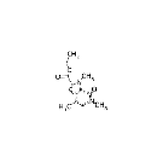 CCOC(=O)c1cc2c(C)cn(C)c(=O)c2n1C